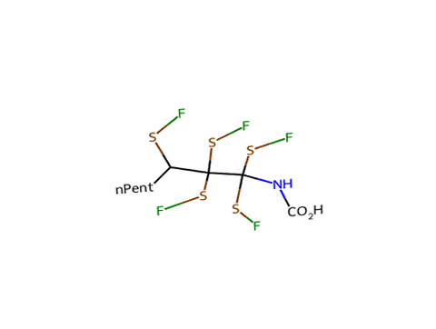 CCCCCC(SF)C(SF)(SF)C(NC(=O)O)(SF)SF